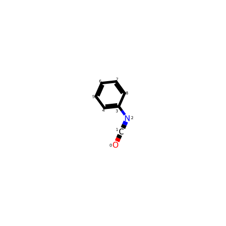 O=C=Nc1c[c]ccc1